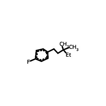 CCC(C)(C)CCc1ccc(F)cc1